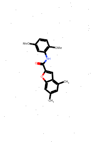 COc1ccc(OC)c(NC(=O)c2cc3c(C)cc(C)cc3o2)c1